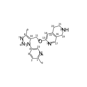 Cc1ccc(-n2nnc(C)c2COc2cc3c(cn2)CNCC3)cn1